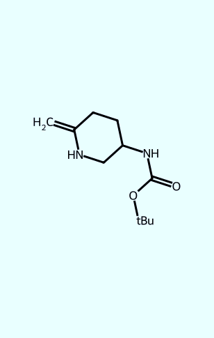 C=C1CCC(NC(=O)OC(C)(C)C)CN1